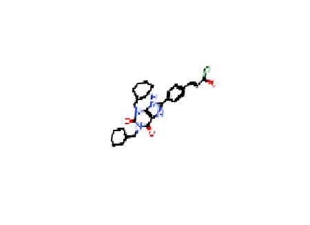 O=C(Cl)/C=C/c1ccc(-c2nc3c(=O)n(CC4CCCCC4)c(=O)n(CC4CCCCC4)c3[nH]2)cc1